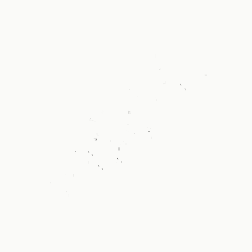 CC(C)(C)NC(=O)COc1ccc2c(nnn2CC2CC2)c1Br